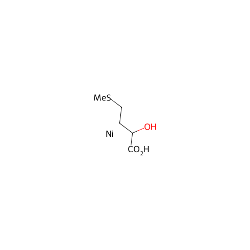 CSCCC(O)C(=O)O.[Ni]